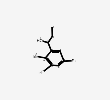 CCC(O)c1cc(F)cc(F)c1Br